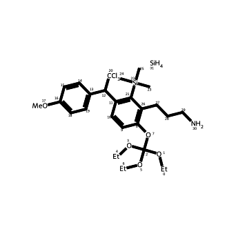 CCOC(OCC)(OCC)Oc1ccc(C(c2ccc(OC)cc2)C(Cl)(Cl)Cl)c([Si](C)(C)C)c1CCCN.[SiH4]